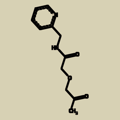 CC(=O)COCC(=O)NCc1ccccn1